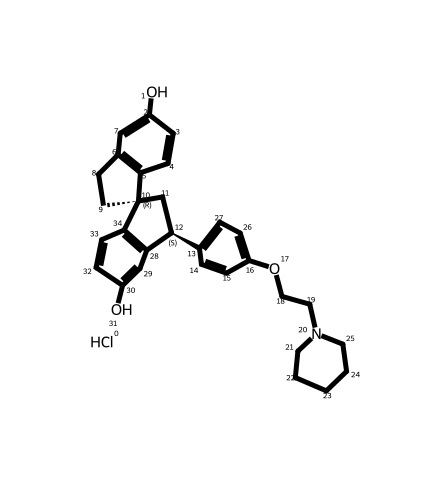 Cl.Oc1ccc2c(c1)CC[C@@]21C[C@@H](c2ccc(OCCN3CCCCC3)cc2)c2cc(O)ccc21